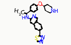 C=C(Nc1cc2cc(-c3nncs3)ccc2cn1)c1ccc(OC2CCNCC2)cc1